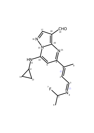 C/C(=C\C=N/C(C)F)c1cc(NC2CC2)n2ncc(C=O)c2n1